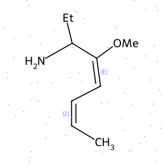 C/C=C\C=C(\OC)C(N)CC